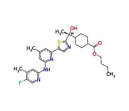 CCCCOC(=O)C1CCC([C@@](C)(O)c2ncc(-c3cc(C)cc(Nc4cc(C)c(F)cn4)n3)s2)CC1